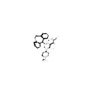 C=CC(=O)/C(O)=C1/C(=O)N(C2CCN(C)CC2)CN(C2c3ccccc3CCc3ccccc32)N1C